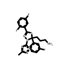 Cc1nnc(N2N=C(c3cc(F)ccc3F)SC2(CCCN)c2cccc(F)c2)s1